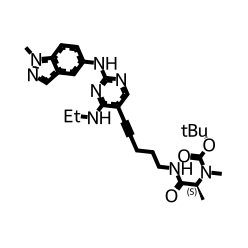 CCNc1nc(Nc2ccc3c(cnn3C)c2)ncc1C#CCCCNC(=O)[C@H](C)N(C)C(=O)OC(C)(C)C